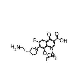 COc1c(N2CC[C@H](CCN)C2)c(F)cc2c(=O)c(C(=O)O)cn([C@@H]3C[C@@H]3F)c12